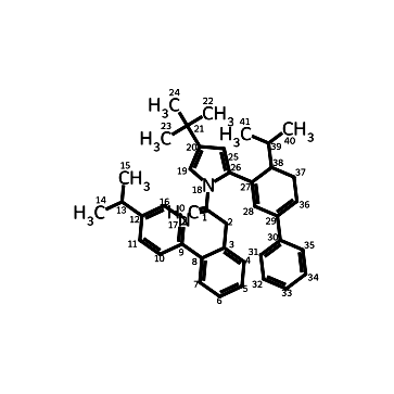 C=C(Cc1ccccc1-c1ccc(C(C)C)cn1)n1cc(C(C)(C)C)cc1C1=CC(c2ccccc2)=CCC1C(C)C